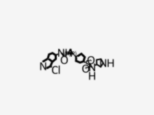 O=C(Nc1ccc2cncc(Cl)c2c1)[C@@H]1C[C@H]1c1ccc(S(=O)(=O)NC2CCNC2)cc1